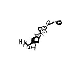 N=C(N)c1ccc(CNC(=O)C2CCC3CN(C(=O)CCc4ccccc4)CC(=O)N32)cc1